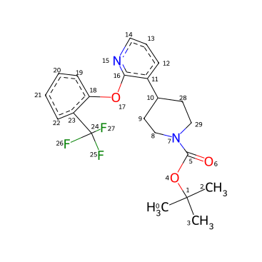 CC(C)(C)OC(=O)N1CCC(c2cccnc2Oc2ccccc2C(F)(F)F)CC1